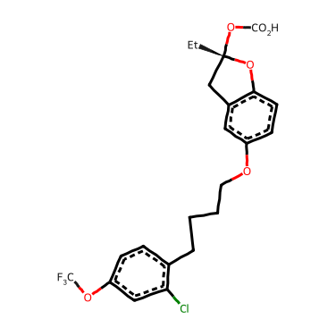 CC[C@]1(OC(=O)O)Cc2cc(OCCCCc3ccc(OC(F)(F)F)cc3Cl)ccc2O1